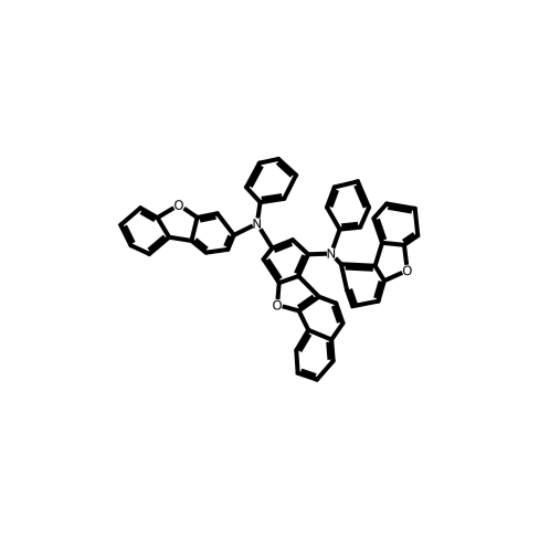 c1ccc(N(c2ccc3c(c2)oc2ccccc23)c2cc(N(c3ccccc3)c3cccc4oc5ccccc5c34)c3c(c2)oc2c4ccccc4ccc23)cc1